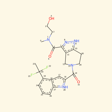 CN(CCO)C(=O)c1n[nH]c2c1CN(C(=O)c1cc3c(C(C)(F)F)cccc3[nH]1)CC2